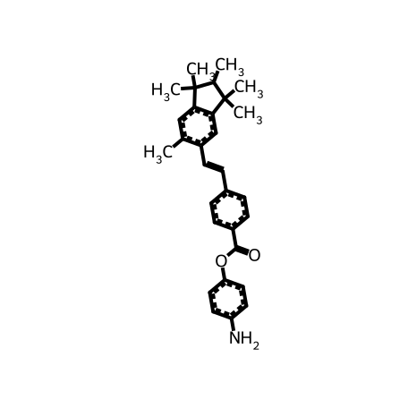 Cc1cc2c(cc1C=Cc1ccc(C(=O)Oc3ccc(N)cc3)cc1)C(C)(C)C(C)C2(C)C